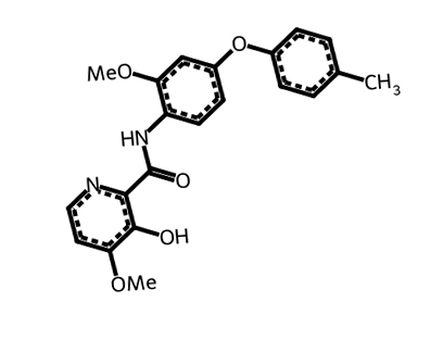 COc1cc(Oc2ccc(C)cc2)ccc1NC(=O)c1nccc(OC)c1O